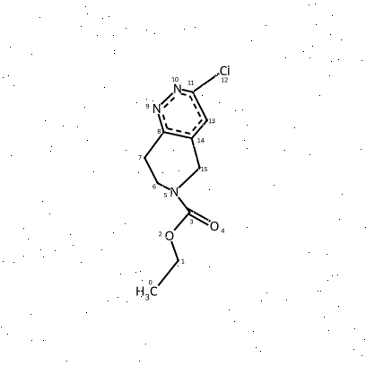 CCOC(=O)N1CCc2nnc(Cl)cc2C1